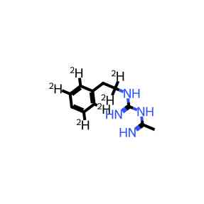 [2H]c1cc([2H])c([2H])c(CC([2H])([2H])NC(=N)NC(C)=N)c1[2H]